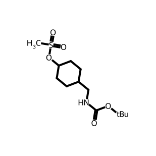 CC(C)(C)OC(=O)NCC1CCC(OS(C)(=O)=O)CC1